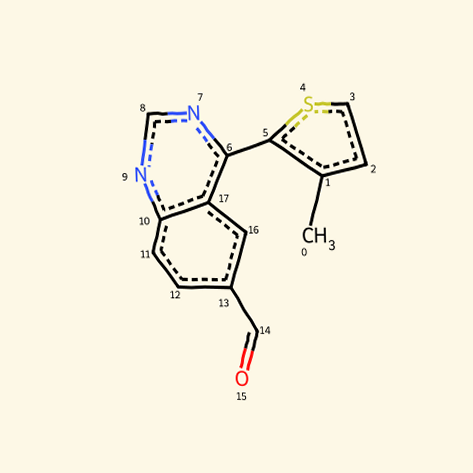 Cc1ccsc1-c1ncnc2ccc(C=O)cc12